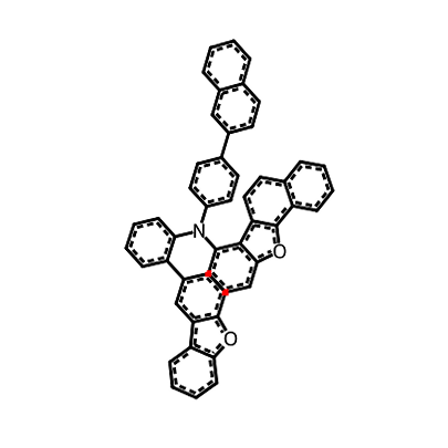 c1ccc(N(c2ccc(-c3ccc4ccccc4c3)cc2)c2cccc3oc4c5ccccc5ccc4c23)c(-c2ccc3oc4ccccc4c3c2)c1